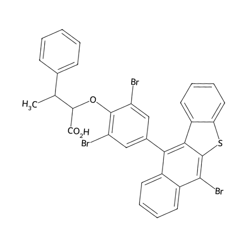 CC(c1ccccc1)C(Oc1c(Br)cc(-c2c3ccccc3c(Br)c3sc4ccccc4c23)cc1Br)C(=O)O